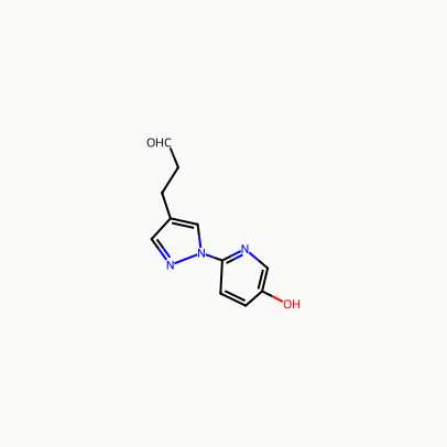 O=CCCc1cnn(-c2ccc(O)cn2)c1